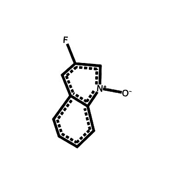 [O-][n+]1cc(F)cc2ccccc21